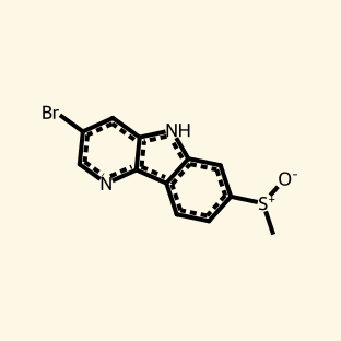 C[S+]([O-])c1ccc2c(c1)[nH]c1cc(Br)cnc12